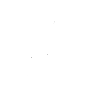 COC(=O)OC12CC3CC(CC(COC(C)=O)(C3)C1)C2